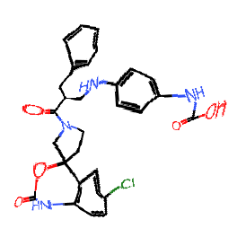 O=C(O)Nc1ccc(NC[C@H](Cc2ccccc2)C(=O)N2CCC3(C2)OC(=O)Nc2ccc(Cl)cc23)cc1